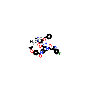 CNC(=O)[C@@H](NC(=O)C1CN(C(=O)Cc2c[nH]c3cc(Cl)ccc23)CC2CN(C(=O)c3ccc(OC4CC4)cc3)CC21)[C@@H](C)OCC1CCCCC1